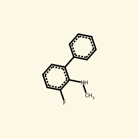 CNc1c(F)cccc1-c1ccccc1